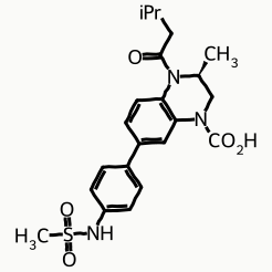 CC(C)CC(=O)N1c2ccc(-c3ccc(NS(C)(=O)=O)cc3)cc2N(C(=O)O)C[C@@H]1C